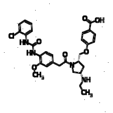 CCN[C@H]1C[C@@H](COc2ccc(C(=O)O)cc2)N(C(=O)Cc2ccc(NC(=O)Nc3ccccc3Cl)c(OC)c2)C1